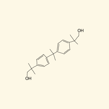 CC(C)(CO)c1ccc(C(C)(C)c2ccc(C(C)(C)CO)cc2)cc1